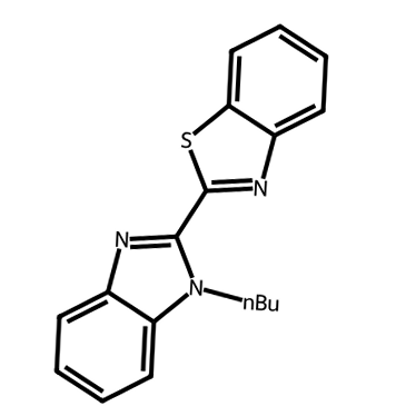 CCCCn1c(-c2nc3ccccc3s2)nc2ccccc21